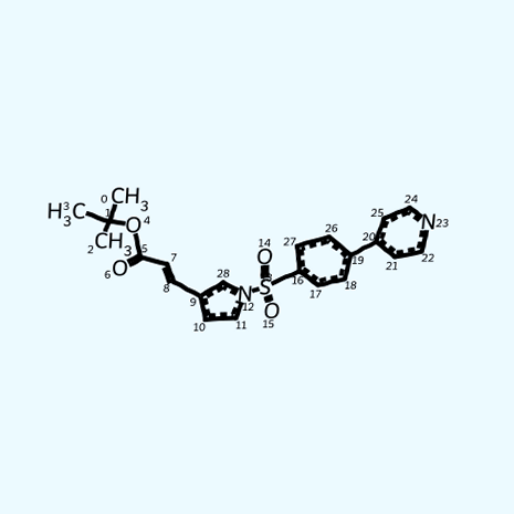 CC(C)(C)OC(=O)C=Cc1ccn(S(=O)(=O)c2ccc(-c3ccncc3)cc2)c1